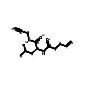 C=CCCC(=O)N[C@@H](CC(C)C)C(=O)OCC#N